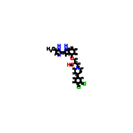 Cc1cnc(-c2cc3c(OCC(O)CN4CCC(c5ccc(Cl)c(Cl)c5)CC4)cccc3[nH]2)[nH]1